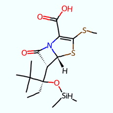 CC[C@@](O[SiH](C)C)([C@@H]1C(=O)N2C(C(=O)O)=C(SC)S[C@H]12)C(C)(C)C